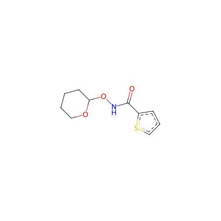 O=C(NOC1CCCCO1)c1cccs1